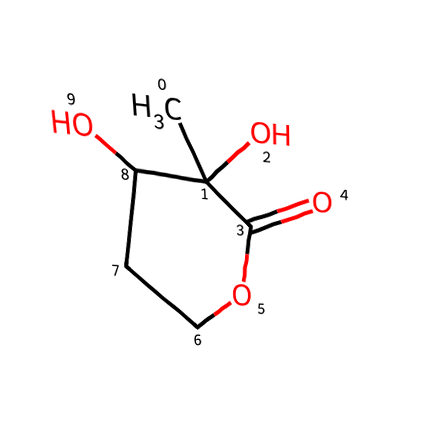 CC1(O)C(=O)OCCC1O